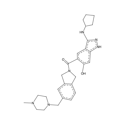 CN1CCN(Cc2ccc3c(c2)CN(C(=O)c2cc4c(NC5CCCC5)n[nH]c4cc2O)C3)CC1